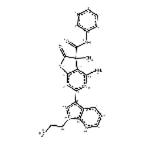 CC1(C(=O)Nc2cccnc2)C(=O)Nc2nc(-c3nn(CCC(F)(F)F)c4ncccc34)nc(N)c21